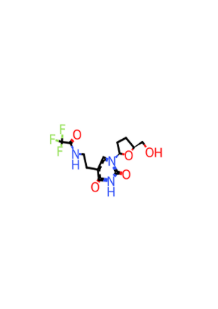 O=C(NCCc1cn([C@H]2CC[C@@H](CO)O2)c(=O)[nH]c1=O)C(F)(F)F